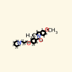 COc1ccc2c(c1)cc(C)n2C(=O)c1ccc(OCCCN2CCCCC2)cc1